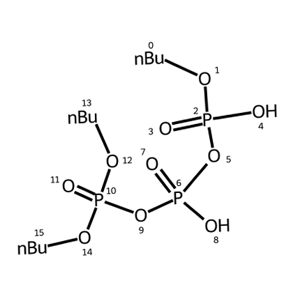 CCCCOP(=O)(O)OP(=O)(O)OP(=O)(OCCCC)OCCCC